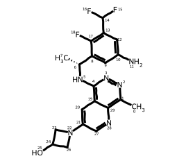 Cc1nnc(N[C@H](C)c2cc(N)cc(C(F)F)c2F)c2cc(N3CC(O)C3)cnc12